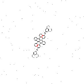 c1ccc(-c2c3ccccc3c(-c3ccccc3)c3c(-c4ccc(-c5nc6cc7c8c(c6s5)CCCN8CCC7)cc4)c4ccccc4c(-c4ccc(-c5nc6cc7c8c(c6s5)CCCN8CCC7)cc4)c23)cc1